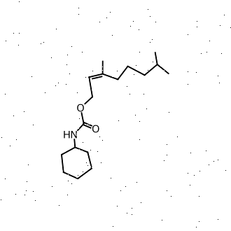 CC(=CCOC(=O)NC1CCCCC1)CCCC(C)C